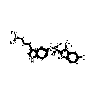 CCN(CC)CCCc1c[nH]c2ccc(NS(=O)(=O)c3sc4ccc(Cl)cc4c3C)cc12